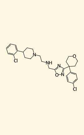 Clc1ccc(C2(c3noc(CNCCN4CCC(c5ccccc5Cl)CC4)n3)CCOCC2)cc1